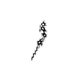 CCCCCCCCOc1ccc(COc2ccc(-c3ccc(C4CCC(C)CC4)c(F)c3F)cc2)c(F)c1F